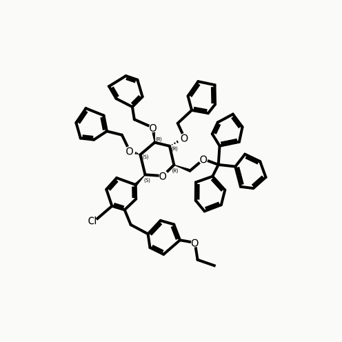 CCOc1ccc(Cc2cc([C@@H]3O[C@H](COC(c4ccccc4)(c4ccccc4)c4ccccc4)[C@@H](OCc4ccccc4)[C@H](OCc4ccccc4)[C@H]3OCc3ccccc3)ccc2Cl)cc1